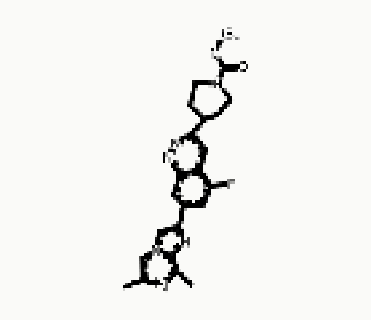 Cc1cn2cc(-c3cc(F)c4cc(C5CCN(C(=O)OC(C)(C)C)CC5)nnc4c3)nc2c(C)n1